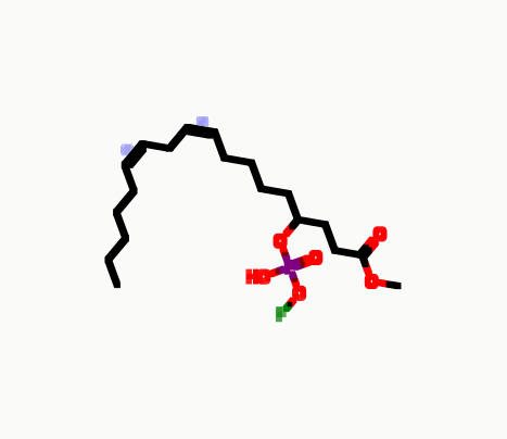 CCCCC/C=C\C/C=C\CCCCC(CCC(=O)OC)OP(=O)(O)OF